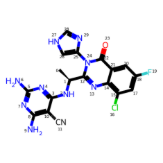 C[C@H](Nc1nc(N)nc(N)c1C#N)c1nc2c(Cl)cc(F)cc2c(=O)n1-c1c[nH]cn1